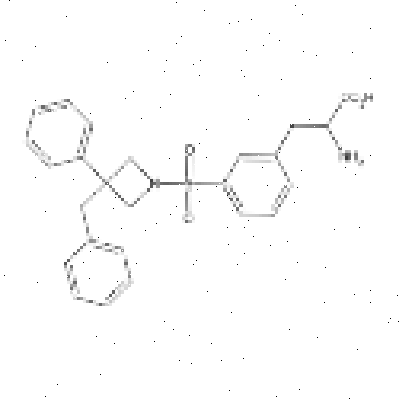 NC(Cc1cccc(S(=O)(=O)N2CC(Cc3ccccc3)(c3ccccc3)C2)c1)C(=O)O